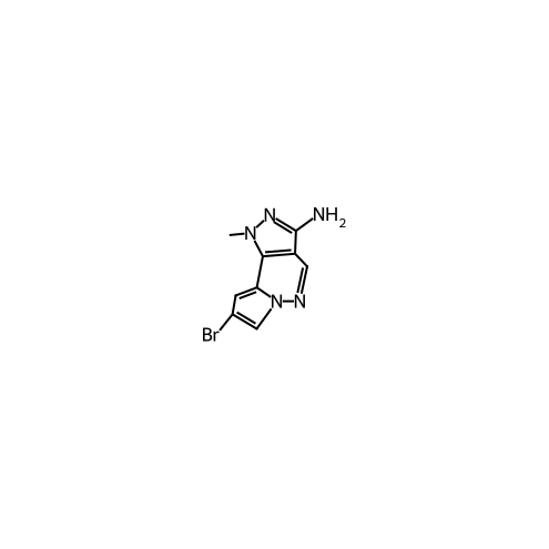 Cn1nc(N)c2cnn3cc(Br)cc3c21